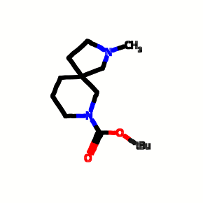 CN1CCC2(CCCN(C(=O)OC(C)(C)C)C2)C1